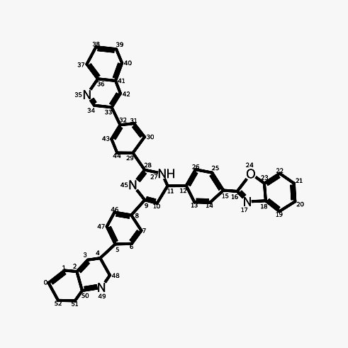 C1=CC2=CC(c3ccc(C4=CC(c5ccc(-c6nc7ccccc7o6)cc5)NC(C5C=CC(c6cnc7ccccc7c6)=CC5)=N4)cc3)CN=C2CC1